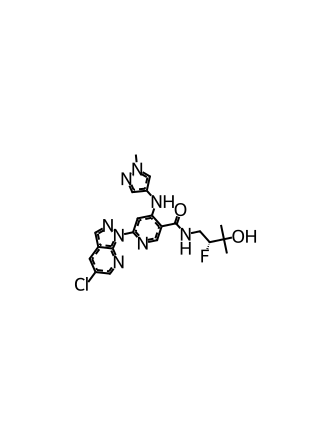 Cn1cc(Nc2cc(-n3ncc4cc(Cl)cnc43)ncc2C(=O)NC[C@@H](F)C(C)(C)O)cn1